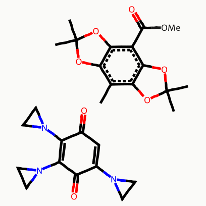 COC(=O)c1c2c(c(C)c3c1OC(C)(C)O3)OC(C)(C)O2.O=C1C=C(N2CC2)C(=O)C(N2CC2)=C1N1CC1